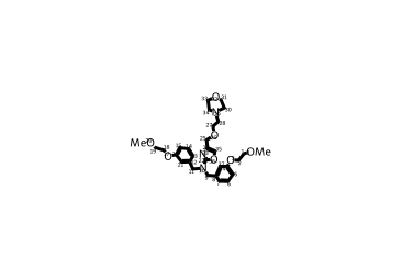 COCCOc1cccc(CN(Cc2cccc(OCCOC)c2)c2nc(COCCN3CCOCC3)co2)c1